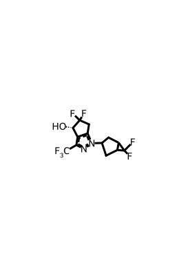 O[C@H]1c2c(C(F)(F)F)nn(C3CC4C(C3)C4(F)F)c2CC1(F)F